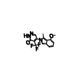 COc1cccc2cn(-c3cn[nH]c(=O)c3C(F)(F)F)c(C)c12